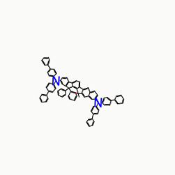 CC1(C)c2cc3cc(N(c4ccc(-c5ccccc5)cc4)c4ccc(-c5ccccc5)cc4)ccc3cc2-c2ccc3c(c21)C(c1ccccc1)(c1ccccc1)c1cc(N(c2ccc(-c4ccccc4)cc2)c2ccc(-c4ccccc4)cc2)ccc1-3